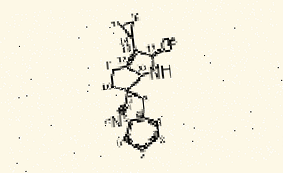 N#CC1(Cc2ccccc2)CCC2=C(C3CC3)C(=O)NC21